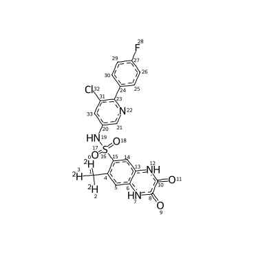 [2H]C([2H])([2H])c1cc2[nH]c(=O)c(=O)[nH]c2cc1S(=O)(=O)Nc1cnc(-c2ccc(F)cc2)c(Cl)c1